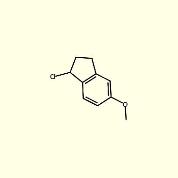 COc1ccc2c(c1)CCC2Cl